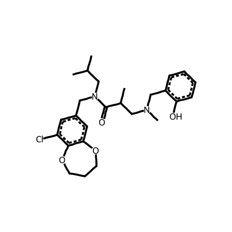 CC(C)CN(Cc1cc(Cl)c2c(c1)OCCCO2)C(=O)C(C)CN(C)Cc1ccccc1O